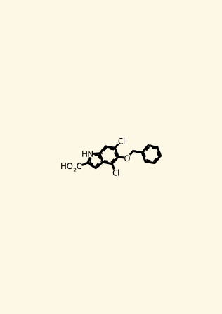 O=C(O)c1cc2c(Cl)c(OCc3ccccc3)c(Cl)cc2[nH]1